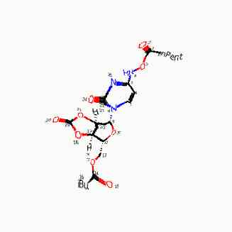 CCCCCC(=O)ONc1ccn([C@@H]2O[C@H](COC(=O)[C@H](C)CC)[C@H]3OC(=O)O[C@H]32)c(=O)n1